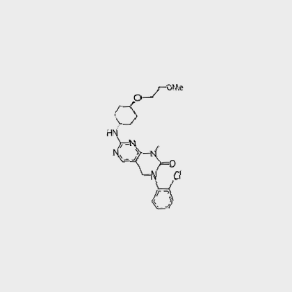 COCCO[C@H]1CC[C@H](Nc2ncc3c(n2)N(C)C(=O)N(c2ccccc2Cl)C3)CC1